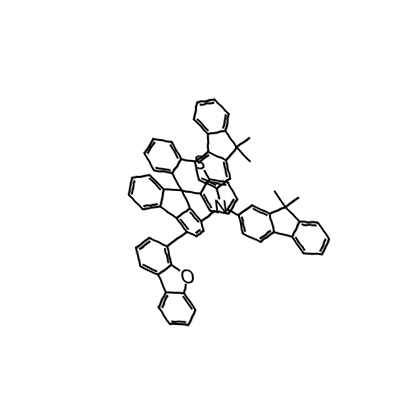 CC1(C)c2ccccc2-c2ccc(N(c3ccc4c(c3)C(C)(C)c3ccccc3-4)c3ccc(-c4cccc5c4oc4ccccc45)c4c3C3(c5ccccc5Sc5ccccc53)c3ccccc3-4)cc21